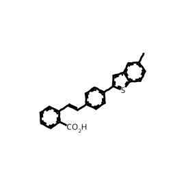 Cc1ccc2sc(-c3ccc(C=Cc4ccccc4C(=O)O)cc3)cc2c1